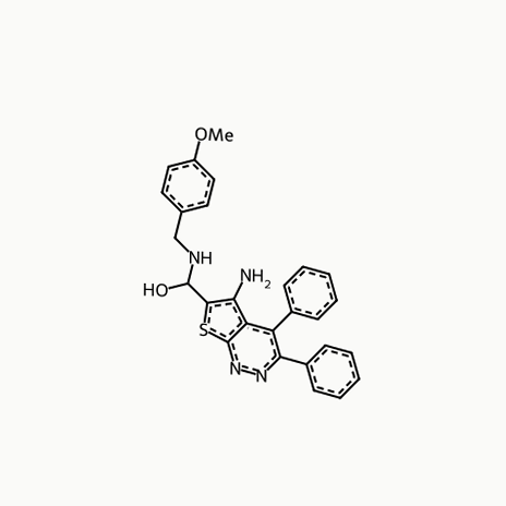 COc1ccc(CNC(O)c2sc3nnc(-c4ccccc4)c(-c4ccccc4)c3c2N)cc1